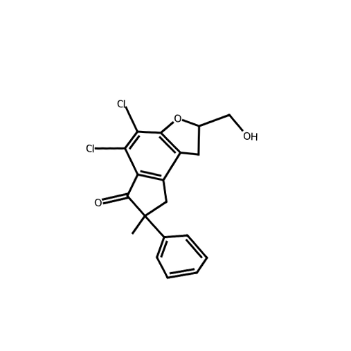 CC1(c2ccccc2)Cc2c3c(c(Cl)c(Cl)c2C1=O)OC(CO)C3